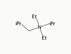 CC[N+](CC)(CC(C)C)C(C)C